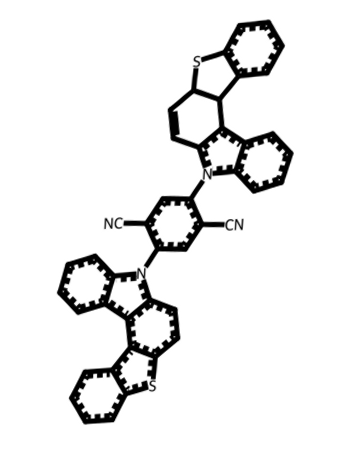 N#Cc1cc(-n2c3ccccc3c3c4c(ccc32)sc2ccccc24)c(C#N)cc1-n1c2c(c3ccccc31)C1c3ccccc3SC1C=C2